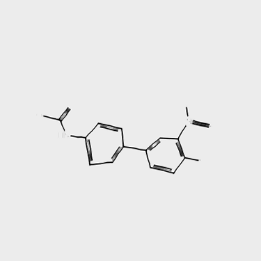 O=C(O)Nc1ccc(-c2ccc(O)c([N+](=O)[O-])c2)cc1